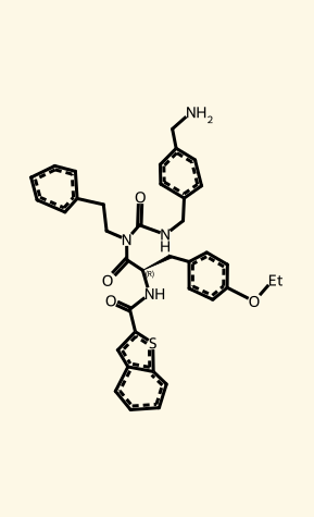 CCOc1ccc(C[C@@H](NC(=O)c2cc3ccccc3s2)C(=O)N(CCc2ccccc2)C(=O)NCc2ccc(CN)cc2)cc1